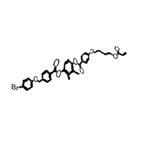 C=CC(=O)OCCCCOc1ccc(C(=O)Oc2ccc(OC(=O)c3ccc(COc4ccc(Br)cc4)cc3)c(C)c2C)cc1